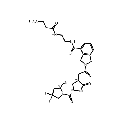 N#C[C@@H]1CC(F)(F)CN1C(=O)[C@@H]1C[C@@H](CC(=O)N2Cc3cccc(C(=O)NCCNC(=O)CCC(=O)O)c3C2)C(=O)N1